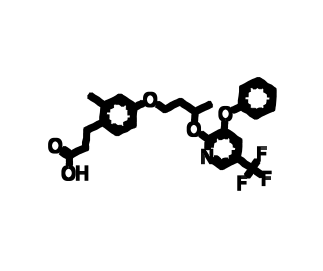 Cc1cc(OCCC(C)Oc2ncc(C(F)(F)F)cc2Oc2ccccc2)ccc1CCC(=O)O